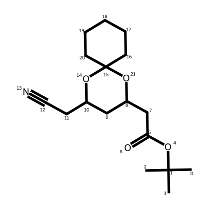 CC(C)(C)OC(=O)CC1CC(CC#N)OC2(CCCCC2)O1